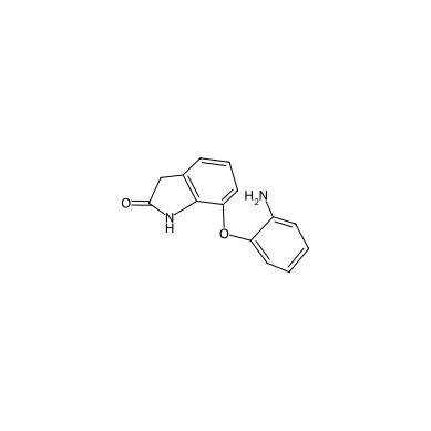 Nc1ccccc1Oc1cccc2c1NC(=O)C2